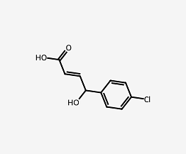 O=C(O)C=CC(O)c1ccc(Cl)cc1